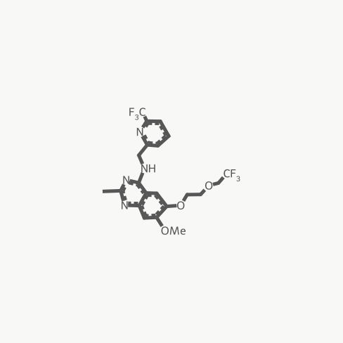 COc1cc2nc(C)nc(NCc3cccc(C(F)(F)F)n3)c2cc1OCCOCC(F)(F)F